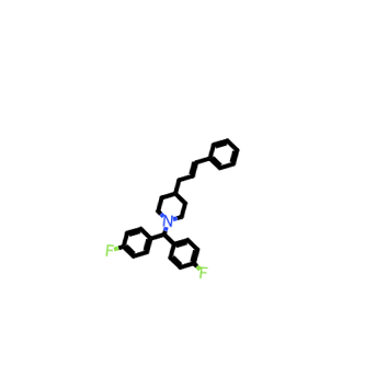 Fc1ccc(C(c2ccc(F)cc2)N2CCC(C/C=C/c3ccccc3)CC2)cc1